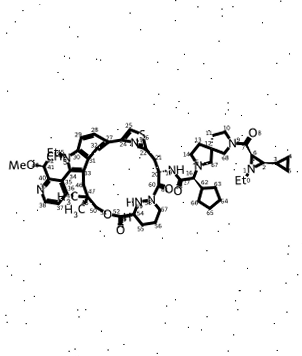 CCN1[C@H](C2CC2)[C@@H]1C(=O)N1CC[C@]2(CCN([C@H](C(=O)N[C@H]3Cc4nc(cs4)-c4ccc5c(c4)c(c(-c4cccnc4[C@H](C)OC)n5CC)CC(C)(C)COC(=O)[C@@H]4CCCN(N4)C3=O)C3CCCC3)C2)C1